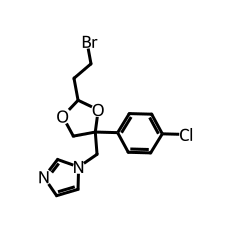 Clc1ccc(C2(Cn3ccnc3)COC(CCBr)O2)cc1